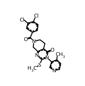 CSc1nc2c(c(=O)n1-c1cnccc1C)CCN(C(=O)c1ccc(Cl)c(Cl)c1)C2